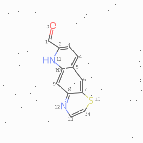 O=CC1=CC=c2cc3c(cc2N1)=NC=CS3